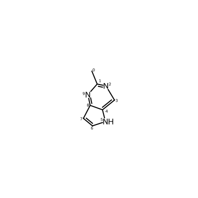 Cc1ncc2[nH]ccc2n1